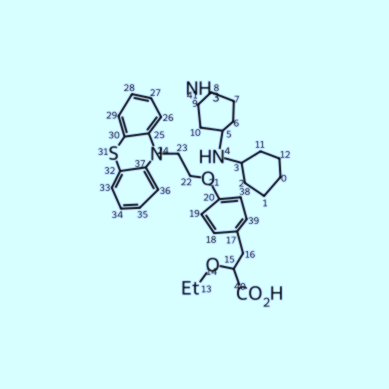 C1CCC(NC2CCCCC2)CC1.CCOC(Cc1ccc(OCCN2c3ccccc3Sc3ccccc32)cc1)C(=O)O.N